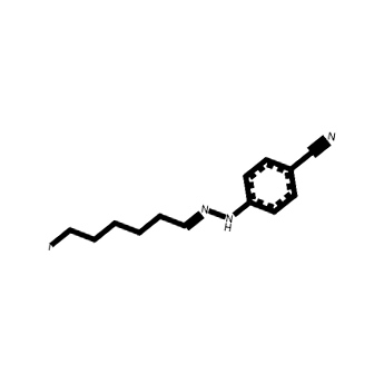 N#Cc1ccc(N/N=C/CCCCCI)cc1